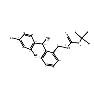 CC(C)(C)OC(=O)NCc1ccccc1C(O)c1ccc(Cl)cc1N